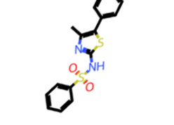 Cc1nc(NS(=O)(=O)c2ccccc2)sc1-c1ccccc1